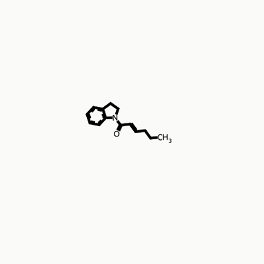 CCC/C=C/C(=O)N1CCc2ccccc21